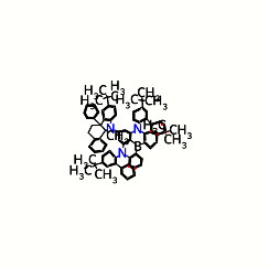 CC(C)(C)c1ccc(N2c3ccccc3B3c4ccc(C(C)(C)C)cc4N(c4ccc(C(C)(C)C)cc4-c4ccccc4)c4cc(N5c6ccc(C(C)(C)C)cc6C6(c7ccccc7)CCc7ccccc7C56C)cc2c43)c(-c2ccccc2)c1